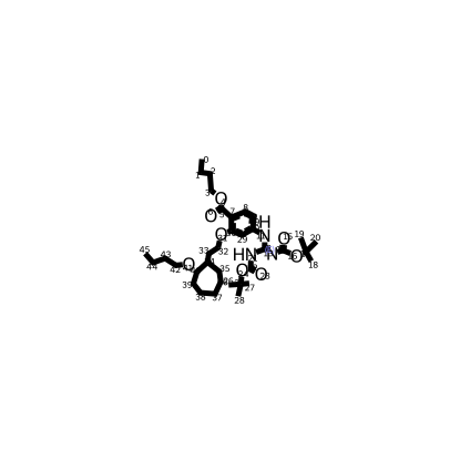 CCCCOC(=O)c1ccc(N/C(=N\C(=O)OC(C)(C)C)NC(=O)OC(C)(C)C)cc1OCCC1CCCCCC1OCCCC